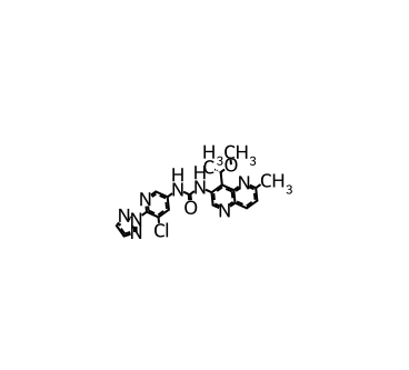 CO[C@@H](C)c1c(NC(=O)Nc2cnc(-n3nccn3)c(Cl)c2)cnc2ccc(C)nc12